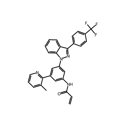 C=CC(=O)Nc1cc(-c2ncccc2C)cc(-n2nc(-c3ccc(C(F)(F)F)cc3)c3ccccc32)c1